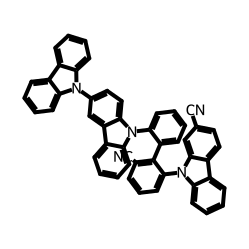 N#Cc1ccc2c3ccccc3n(-c3cccc(C#N)c3-c3ccccc3-n3c4ccccc4c4cc(-n5c6ccccc6c6ccccc65)ccc43)c2c1